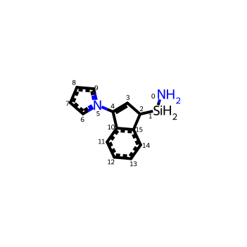 N[SiH2]C1C=C(n2cccc2)c2ccccc21